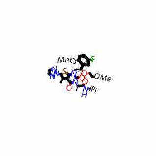 COCCO[C@@H](Cn1c(=O)n([C@H](C)C(=O)NC(C)C)c(=O)c2c(C)c(-n3nccn3)sc21)c1cc(F)ccc1OC